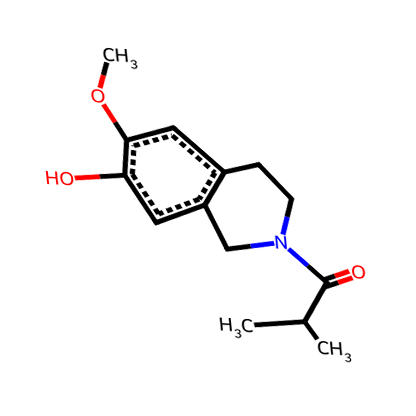 COc1cc2c(cc1O)CN(C(=O)C(C)C)CC2